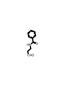 O=CCCNC(=O)c1cc[c]cc1